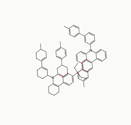 CCC(CC)(c1ccc(C2=C(N(C3=CCCC(c4ccc(C)cc4)C3)C3C=C(C4=CCC(C)CC4)CCC3)CCCC2)cc1)c1ccc(-c2ccccc2N(c2cccc(-c3ccc(C)cc3)c2)c2cccc(-c3ccc(C)cc3)c2)cc1